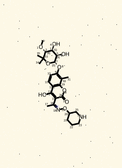 CO[C@@H]1[C@@H](O)[C@@H](O)[C@H](Oc2ccc3c(O)c(/C(C)=N\OC4CCCNC4)c(=O)oc3c2C)OC1(C)C